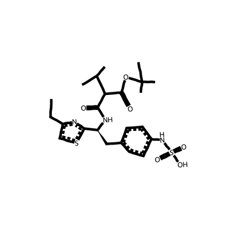 CCc1csc([C@H](Cc2ccc(NS(=O)(=O)O)cc2)NC(=O)C(C(=O)OC(C)(C)C)C(C)C)n1